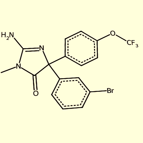 CN1C(=O)C(c2ccc(OC(F)(F)F)cc2)(c2cccc(Br)c2)N=C1N